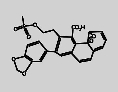 CS(=O)(=O)OCCc1c(-c2ccc3c(c2)OCO3)cc2c(c1C(=O)O)C13OCOC1C=CC=C3C=C2